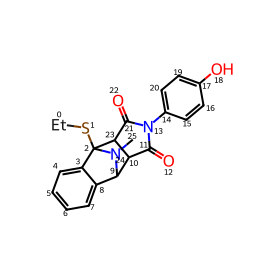 CCSC12c3ccccc3C(C3C(=O)N(c4ccc(O)cc4)C(=O)C31)N2C